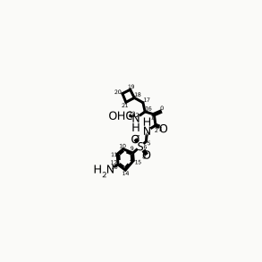 C=C(C(=O)NCS(=O)(=O)c1ccc(N)cc1)C(CC1CCC1)NC=O